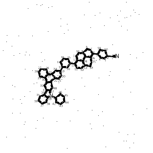 N#Cc1ccc(-c2ccc3ccc4c(-c5cccc(-c6ccc7c(c6)c6ccccc6c6cc8c9ccccc9n(-c9ccccc9)c8cc76)c5)ccc5ccc2c3c54)cc1